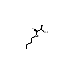 C=C(O)C(=O)NCCCC